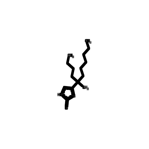 CCCCCCC(C)(CCCC)c1c[nH]c(=O)s1